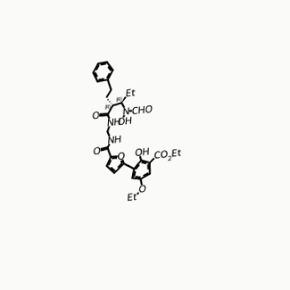 CCOC(=O)c1cc(OCC)cc(-c2ccc(C(=O)NCNC(=O)[C@H](CCc3ccccc3)[C@@H](CC)N(O)C=O)o2)c1O